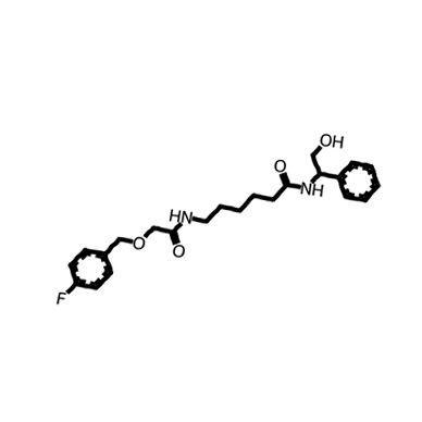 O=C(COCc1ccc(F)cc1)NCCCCCC(=O)NC(CO)c1ccccc1